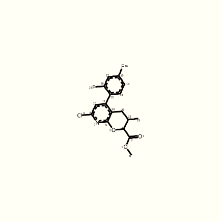 COC(=O)C1Oc2nc(Cl)cc(-c3ccc(F)cc3F)c2CC1C